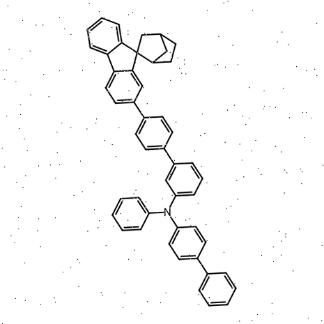 c1ccc(-c2ccc(N(c3ccccc3)c3cccc(-c4ccc(-c5ccc6c(c5)C5(CC7CCC5C7)c5ccccc5-6)cc4)c3)cc2)cc1